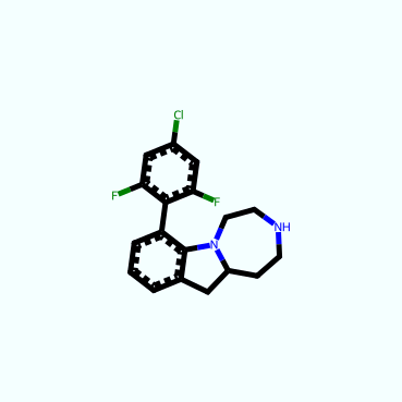 Fc1cc(Cl)cc(F)c1-c1cccc2c1N1CCNCCC1C2